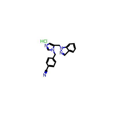 Cl.N#Cc1ccc(Cn2cncc2Cn2ncc3ccccc32)cc1